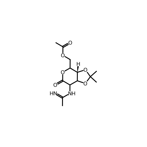 CC(=N)NC1C(=O)OC(COC(C)=O)[C@@H]2OC(C)(C)OC12